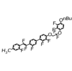 CCCCOc1ccc(OC(F)(F)COc2ccc(-c3ccc(/C(F)=C(\F)c4ccc(C)cc4F)c(F)c3)c(F)c2F)c(F)c1F